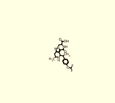 CC1Cc2nn3c(c2C(C(C)c2ccc(OC(F)F)cc2)N1)C(=O)NC(C(=O)O)C3